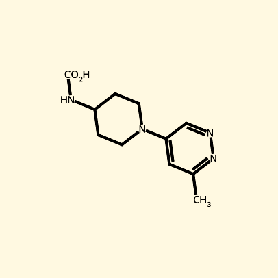 Cc1cc(N2CCC(NC(=O)O)CC2)cnn1